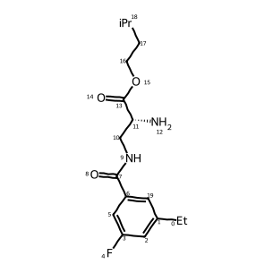 CCc1cc(F)cc(C(=O)NC[C@@H](N)C(=O)OCCC(C)C)c1